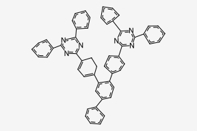 C1=C(c2nc(-c3ccccc3)nc(-c3ccccc3)n2)CCC(c2cc(-c3ccccc3)ccc2-c2ccc(-c3nc(-c4ccccc4)nc(-c4ccccc4)n3)cc2)=C1